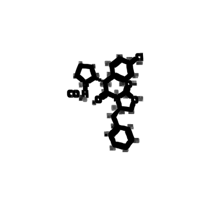 O=C(O)N1CCCC1[C@@H](C(=O)N1C(=O)OC[C@H]1Cc1ccccc1)c1ccc(Cl)cc1